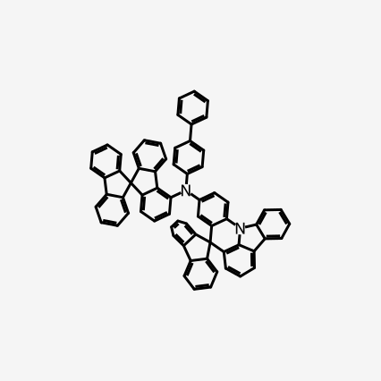 c1ccc(-c2ccc(N(c3ccc4c(c3)C3(c5ccccc5-c5ccccc53)c3cccc5c6ccccc6n-4c35)c3cccc4c3-c3ccccc3C43c4ccccc4-c4ccccc43)cc2)cc1